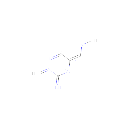 C=NC(=N)N/C(C=N)=C/NC